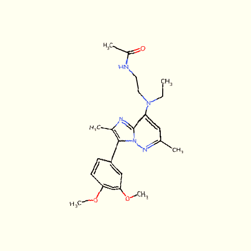 CCN(CCNC(C)=O)c1cc(C)nn2c(-c3ccc(OC)c(OC)c3)c(C)nc12